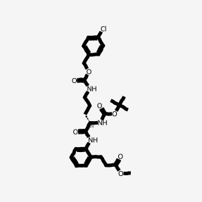 COC(=O)CCc1ccccc1NC(=O)[C@H](CCCNC(=O)OCc1ccc(Cl)cc1)NC(=O)OC(C)(C)C